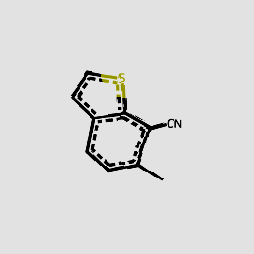 Cc1ccc2ccsc2c1C#N